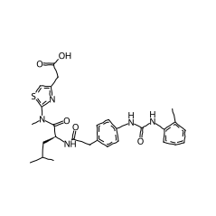 Cc1ccccc1NC(=O)Nc1ccc(CC(=O)N[C@@H](CC(C)C)C(=O)N(C)c2nc(CC(=O)O)cs2)cc1